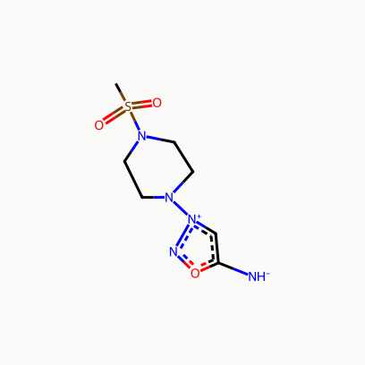 CS(=O)(=O)N1CCN([n+]2cc([NH-])on2)CC1